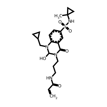 C=CC(=O)NCCCN1C(=O)c2cc(S(=O)(=O)NC3(C)CC3)ccc2N(CC2CC2)C1O